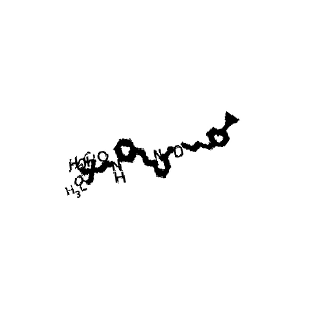 CCC(CC)(CC(=O)Nc1cccc(C=Cc2cccc(COCCCCc3ccc(C4CC4)cc3)n2)c1)C(=O)O